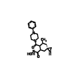 CC1C[C@@]2(CN2)CC(C(=O)NO)C1C(=O)N1CCN(c2ccccc2)CC1